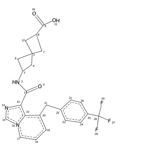 O=C(NC1CC2(C1)CC(C(=O)O)C2)c1ncn2cccc(Cc3ccc(C(F)(F)F)cc3)c12